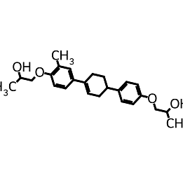 Cc1cc(C2=CCC(c3ccc(OCC(C)O)cc3)CC2)ccc1OCC(C)O